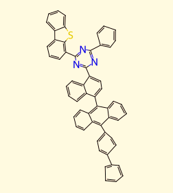 c1ccc(-c2ccc(-c3c4ccccc4c(-c4ccc(-c5nc(-c6ccccc6)nc(-c6cccc7c6sc6ccccc67)n5)c5ccccc45)c4ccccc34)cc2)cc1